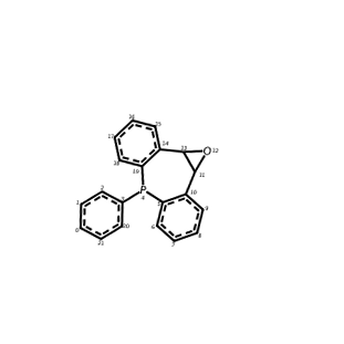 c1ccc(P2c3ccccc3C3OC3c3ccccc32)cc1